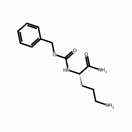 NCCC[C@H](NC(=O)OCc1ccccc1)C(N)=O